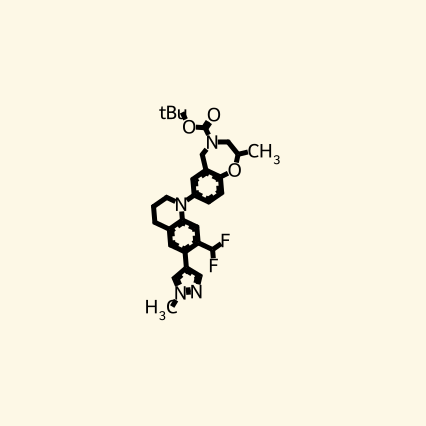 CC1CN(C(=O)OC(C)(C)C)Cc2cc(N3CCCc4cc(-c5cnn(C)c5)c(C(F)F)cc43)ccc2O1